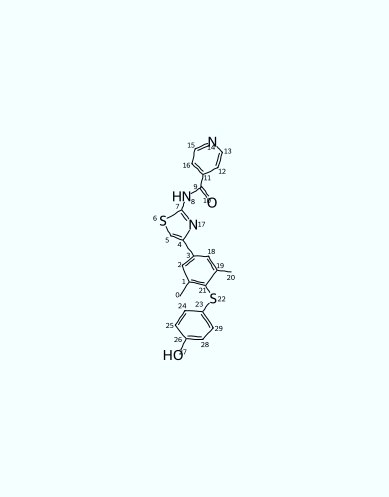 Cc1cc(-c2csc(NC(=O)c3ccncc3)n2)cc(C)c1Sc1ccc(O)cc1